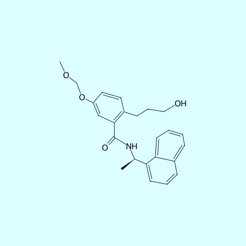 COCOc1ccc(CCCO)c(C(=O)N[C@H](C)c2cccc3ccccc23)c1